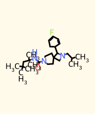 CC(C)CN1CC2(CCN(C(=O)NC(C)(C)CC(C)(C)C)CC2)C1C1C=CC(F)=CC1